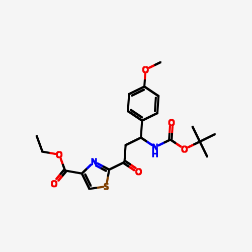 CCOC(=O)c1csc(C(=O)CC(NC(=O)OC(C)(C)C)c2ccc(OC)cc2)n1